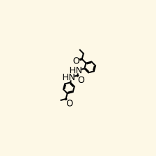 CCC(=O)c1ccccc1NC(=O)Nc1ccc(C(C)=O)cc1